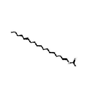 CCCCC=CCCCCCCCCCCC=COC(C)=O